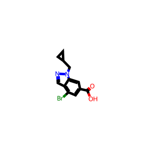 O=C(O)c1cc(Br)c2cnn(CC3CC3)c2c1